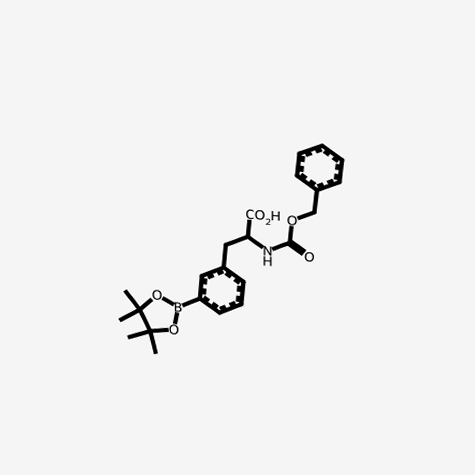 CC1(C)OB(c2cccc(CC(NC(=O)OCc3ccccc3)C(=O)O)c2)OC1(C)C